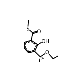 CCO[C@@H](C)c1cccc(C(=O)SC)c1O